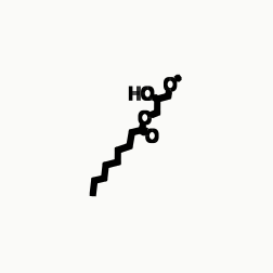 CCCCCCCCC(=O)OCC(O)COC